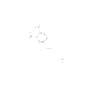 C=C(C)c1ccc(C(C)COOC(C)(C)CC)cc1C(=C)C